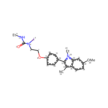 CCNC(=O)N(I)CCOc1ccc(-c2c(C#N)c3ccc(OC)cc3n2CC)cc1